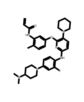 C=CC(=O)Nc1cc(Oc2nc(Nc3ccc(N4CCC(N(C)C)CC4)cc3F)ccc2N2CCCCC2)ccc1C